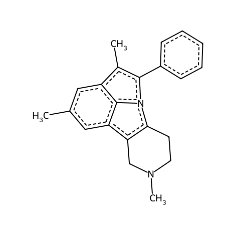 Cc1cc2c(C)c(-c3ccccc3)n3c4c(c(c1)c23)CN(C)CC4